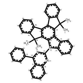 CC1(C)c2ccccc2-c2c3c(c4c(c21)c1ccccc1n4-c1nc(-c2ccccc2)c2ccccc2n1)C(C)(C)c1ccccc1-3